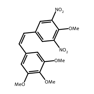 COc1cc(/C=C\c2cc([N+](=O)[O-])c(OC)c([N+](=O)[O-])c2)cc(OC)c1OC